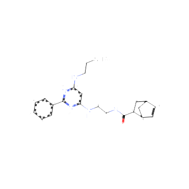 CC(=O)NCCNc1cc(NCCNC(=O)C2CC3C=CC2C3)nc(-c2ccccc2)n1